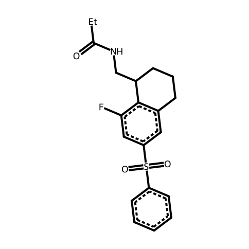 CCC(=O)NCC1CCCc2cc(S(=O)(=O)c3ccccc3)cc(F)c21